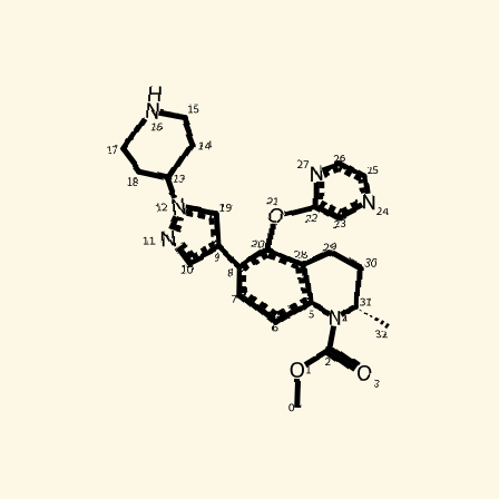 COC(=O)N1c2ccc(-c3cnn(C4CCNCC4)c3)c(Oc3cnccn3)c2CC[C@@H]1C